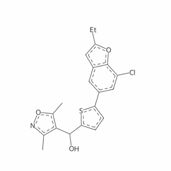 CCc1cc2cc(-c3ccc(C(O)c4c(C)noc4C)s3)cc(Cl)c2o1